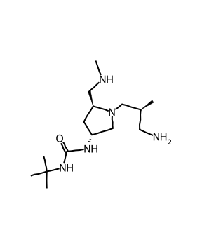 CNC[C@@H]1C[C@@H](NC(=O)NC(C)(C)C)CN1C[C@@H](C)CN